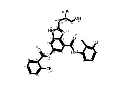 Cc1c(Cl)cccc1NC(=O)c1cc(NC(=O)c2ccccc2C(F)(F)F)cc2[nH]c(N[C@H](CO)C(C)(C)C)nc12